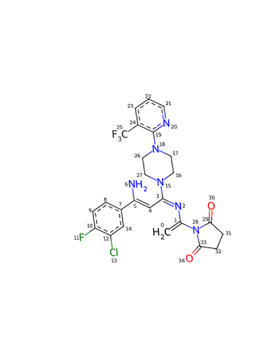 C=C(/N=C(\C=C(/N)c1ccc(F)c(Cl)c1)N1CCN(c2ncccc2C(F)(F)F)CC1)N1C(=O)CCC1=O